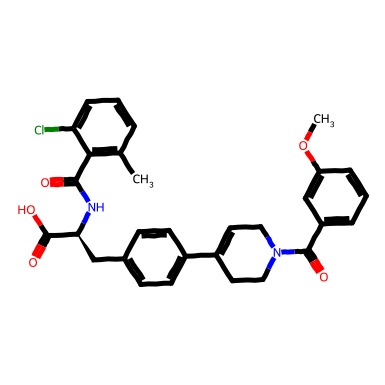 COc1cccc(C(=O)N2CC=C(c3ccc(C[C@H](NC(=O)c4c(C)cccc4Cl)C(=O)O)cc3)CC2)c1